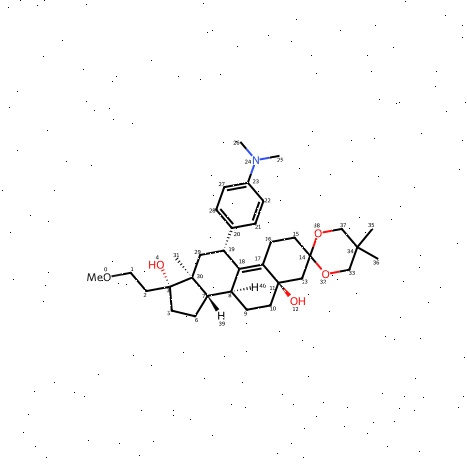 COCC[C@]1(O)CC[C@H]2[C@@H]3CC[C@@]4(O)CC5(CCC4=C3[C@@H](c3ccc(N(C)C)cc3)C[C@@]21C)OCC(C)(C)CO5